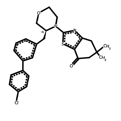 CC1(C)CC(=O)c2sc(N3CCOC[C@@H]3Cc3cccc(-c4ccc(Cl)cc4)c3)nc2C1